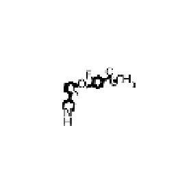 COC(=O)c1ccc(COc2cccc(C3CCNCC3)n2)c(F)c1